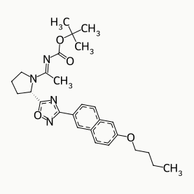 CCCCOc1ccc2cc(-c3noc([C@@H]4CCCN4/C(C)=N/C(=O)OC(C)(C)C)n3)ccc2c1